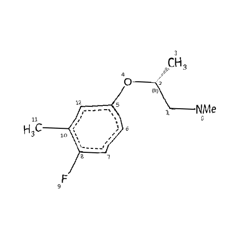 CNC[C@@H](C)Oc1ccc(F)c(C)c1